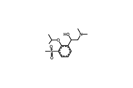 CC(C)Oc1c(C(O)CN(C)C)cccc1S(C)(=O)=O